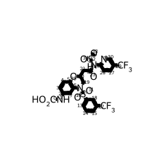 O=C(O)Nc1ccc2c(c1)N(S(=O)(=O)c1cccc(C(F)(F)F)c1)CC(CC(=O)N(c1ccc(C(F)(F)F)cn1)[SH](=O)=O)O2